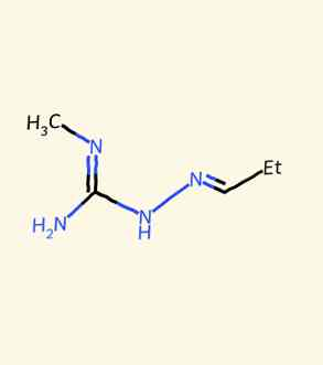 CCC=NNC(N)=NC